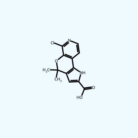 CC1(C)Oc2c(ccnc2Cl)-c2[nH]c(C(=O)O)cc21